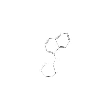 c1ccc2c(NC3CCNCC3)cccc2c1